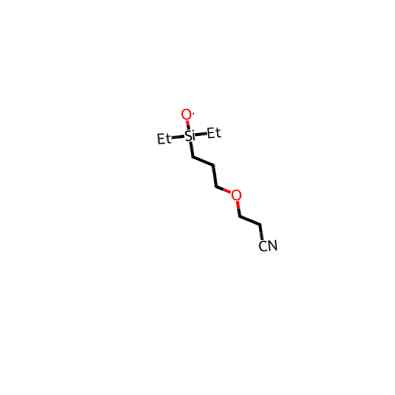 CC[Si]([O])(CC)CCCOCCC#N